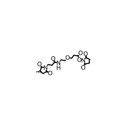 C[C@@H]1CC(=O)N(CCC(=O)NCCOCCC(=O)ON2C(=O)CCC2=O)C1=O